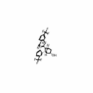 N#Cc1ccc(C(F)(F)F)cc1NC(=O)[C@@H]1[C@@H](c2cccc(C(F)(F)F)c2)[C@H]2O[C@@H]1C[C@@H]2O